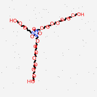 O=c1n(CCCCOCCOCCO)c(=O)n(CCOCCOCCOCCOCCOCCOCCOCCO)c(=O)n1CCOCCOCCOCCOCCOCCOCCOCCO